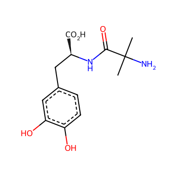 CC(C)(N)C(=O)N[C@@H](Cc1ccc(O)c(O)c1)C(=O)O